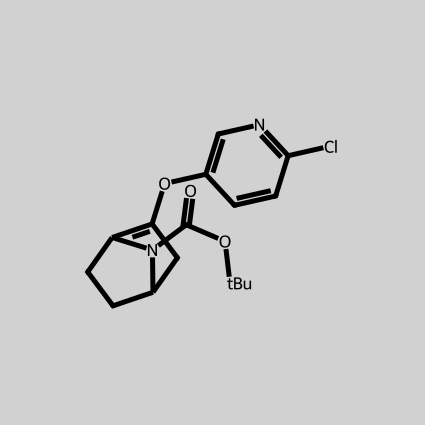 CC(C)(C)OC(=O)N1C2=C(Oc3ccc(Cl)nc3)CC1CC2